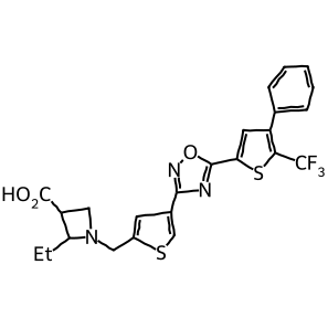 CCC1C(C(=O)O)CN1Cc1cc(-c2noc(-c3cc(-c4ccccc4)c(C(F)(F)F)s3)n2)cs1